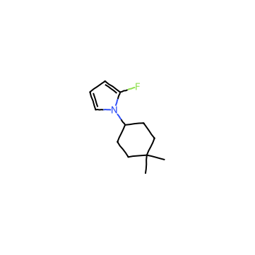 CC1(C)CCC(n2cccc2F)CC1